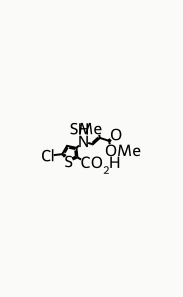 COC(=O)/C(=C/Nc1cc(Cl)sc1C(=O)O)SC